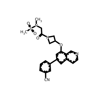 CN(CC(=O)N1CC(Oc2cc(-c3cccc(C#N)c3)cc3ccncc23)C1)S(C)(=O)=O